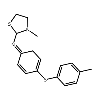 Cc1ccc(SC2=CCC(=NC3SCCN3C)C=C2)cc1